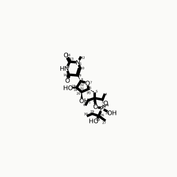 CCC(CC)(C[C@H]1O[C@@H](c2cn(C)c(=O)[nH]c2=O)[C@H](O)[C@@H]1O)OP(=O)(O)C(C)(O)CC